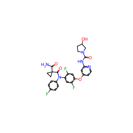 NC(=O)C1(C(=O)N(c2ccc(F)cc2)c2cc(F)c(Oc3ccnc(NC(=O)N4CCC(O)C4)c3)cc2F)CC1